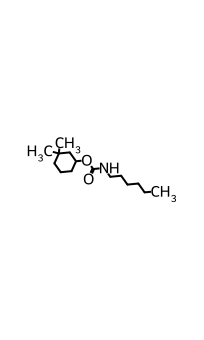 CCCCCCNC(=O)OC1CCCC(C)(C)C1